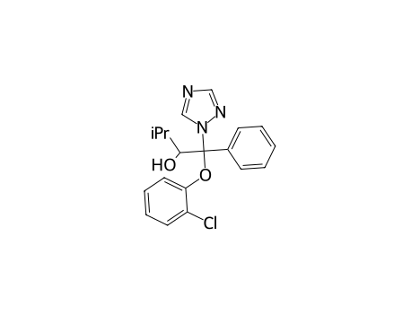 CC(C)C(O)C(Oc1ccccc1Cl)(c1ccccc1)n1cncn1